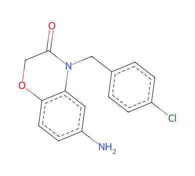 Nc1ccc2c(c1)N(Cc1ccc(Cl)cc1)C(=O)CO2